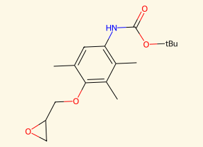 Cc1cc(NC(=O)OC(C)(C)C)c(C)c(C)c1OCC1CO1